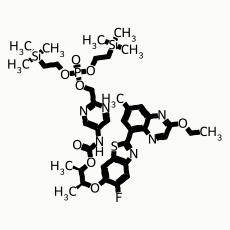 CCOc1cnc2c(-c3nc4cc(F)c(O[C@@H](C)[C@@H](C)OC(=O)Nc5cnc(COP(=O)(OCC[Si](C)(C)C)OCC[Si](C)(C)C)nc5)cc4s3)cc(C)cc2n1